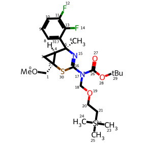 COC[C@]12C[C@H]1[C@@](C)(c1cccc(F)c1F)N=C(N(COCC[Si](C)(C)C)C(=O)OC(C)(C)C)S2